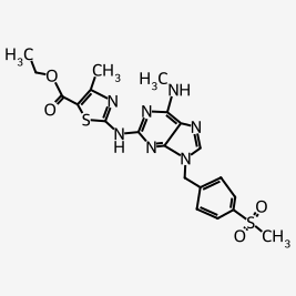 CCOC(=O)c1sc(Nc2nc(NC)c3ncn(Cc4ccc(S(C)(=O)=O)cc4)c3n2)nc1C